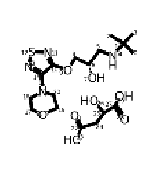 CC(C)(C)NC[C@H](O)COc1nsnc1N1CCOCC1.O=C(O)CC(O)C(=O)O